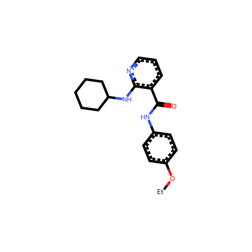 CCOc1ccc(NC(=O)c2cccnc2NC2CCCCC2)cc1